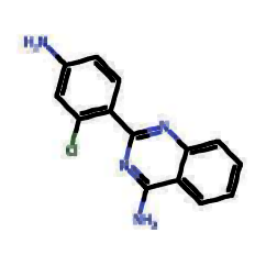 Nc1ccc(-c2nc(N)c3ccccc3n2)c(Cl)c1